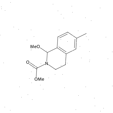 COC(=O)N1CCc2cc(C)ccc2C1OC